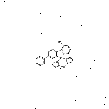 Brc1cccc2c1-c1ccc(-c3ccccc3)cc1C21c2ccccc2Oc2ccccc21